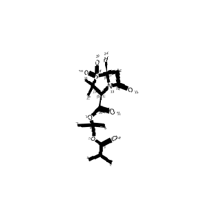 CC(C)C(=O)OC(C)(C)OC(=O)[C@@H]1N2C(=O)C[C@H]2S(=O)(=O)C1(C)C